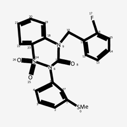 CSc1cccc(N2C(=O)N(Cc3ccccc3F)c3ccccc3S2(=O)=O)c1